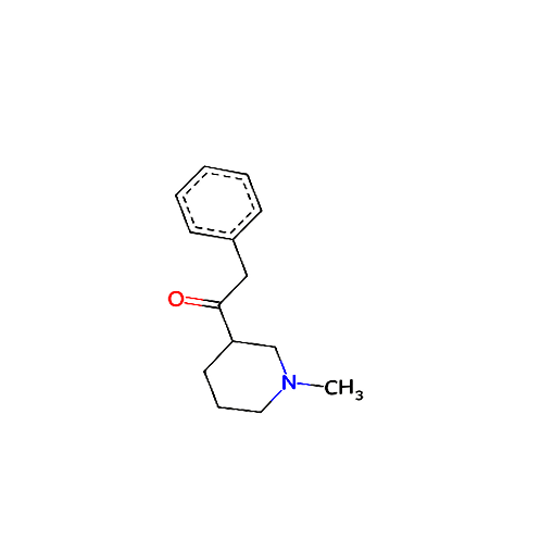 CN1CCCC(C(=O)Cc2ccccc2)C1